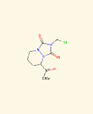 COC(=O)C1CCCn2c(=O)n(CCl)c(=O)n21